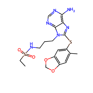 CCS(=O)(=O)NCCCn1c(Sc2cc3c(cc2C)OCO3)nc2c(N)ncnc21